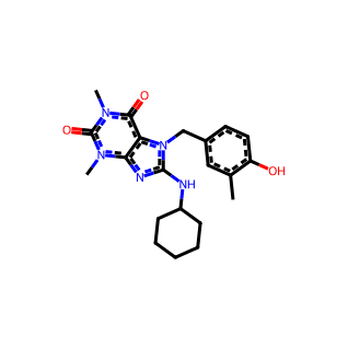 Cc1cc(Cn2c(NC3CCCCC3)nc3c2c(=O)n(C)c(=O)n3C)ccc1O